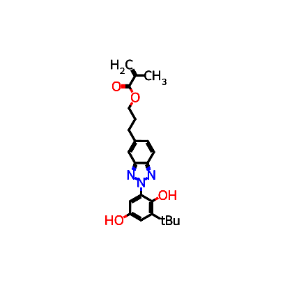 C=C(C)C(=O)OCCCc1ccc2nn(-c3cc(O)cc(C(C)(C)C)c3O)nc2c1